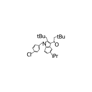 CC(C)c1ccc2c(c1)c(C(=O)CC(C)(C)C)c(CC(C)(C)C)n2Cc1ccc(Cl)cc1